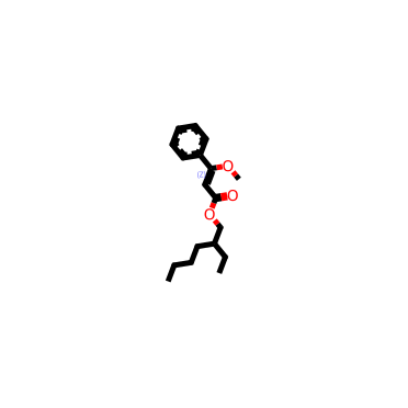 CCCCC(CC)COC(=O)/C=C(\OC)c1ccccc1